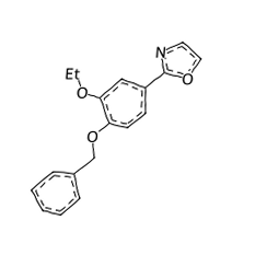 CCOc1cc(-c2ncco2)ccc1OCc1ccccc1